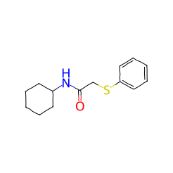 O=C(CSc1ccccc1)NC1CCCCC1